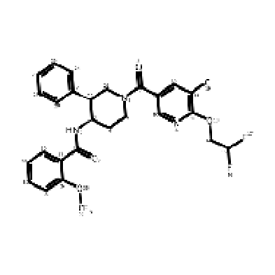 O=C(N[C@@H]1CCN(C(=O)c2cnc(OCC(F)F)c(Cl)c2)C[C@@H]1c1ccccc1)c1ccccc1OC(F)(F)F